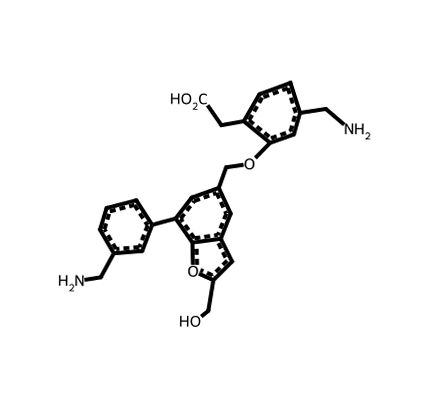 NCc1cccc(-c2cc(COc3cc(CN)ccc3CC(=O)O)cc3cc(CO)oc23)c1